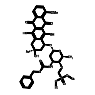 CCOP(=O)(CO[C@H]1[C@@H](NC(=O)OCc2ccccc2)C[C@H](O[C@H]2C[C@](O)(C(C)=O)Cc3c(O)c4c(c(O)c32)C(=O)c2c(OC)cccc2C4=O)O[C@H]1C)OCC